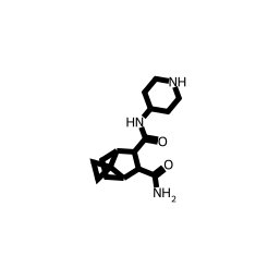 NC(=O)C1C(C(=O)NC2CCNCC2)C2CCC1C21CC1